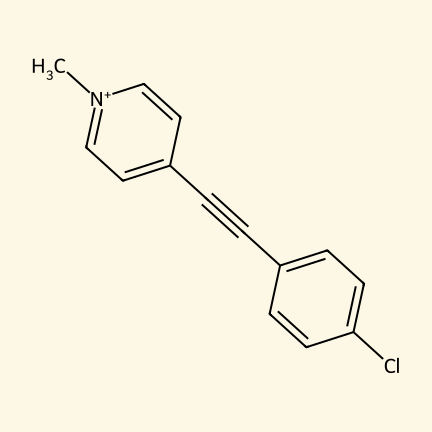 C[n+]1ccc(C#Cc2ccc(Cl)cc2)cc1